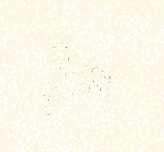 CN1c2ccccc2N(c2cccc(-c3c(-c4ccccc4)c(-c4cccc(-c5nc6ccccc6o5)c4)c(-c4ccccc4)c(-c4cccc(-c5nc6ccccc6o5)c4)c3-c3ccccc3)c2)c2ccccc21